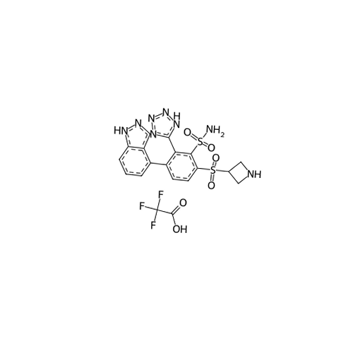 NS(=O)(=O)c1c(S(=O)(=O)C2CNC2)ccc(-c2cccc3[nH]ncc23)c1-c1nnn[nH]1.O=C(O)C(F)(F)F